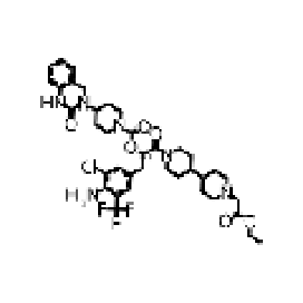 CCOC(=O)CN1CCC(C2CCN(C(=O)[C@@H](Cc3cc(Cl)c(N)c(C(F)(F)F)c3)OC(=O)N3CCC(N4Cc5ccccc5NC4=O)CC3)CC2)CC1